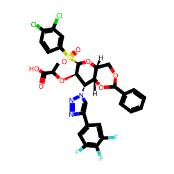 CC(O[C@@H]1[C@@H](n2cc(-c3cc(F)c(F)c(F)c3)nn2)[C@H]2OC(c3ccccc3)OC[C@H]2O[C@@H]1S(=O)(=O)c1ccc(Cl)c(Cl)c1)C(=O)O